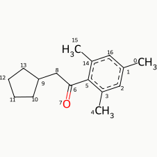 Cc1cc(C)c(C(=O)CC2CCCC2)c(C)c1